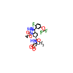 CC1(NC(=O)[C@@H]2CCC(C(=N)c3cc(OC(F)F)ccc3F)=C(NS(=O)(=O)C3CC3)C2)CS(=O)(=O)C1